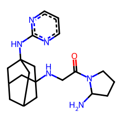 NC1CCCN1C(=O)CNC12CC3CC(C1)CC(Nc1ncccn1)(C3)C2